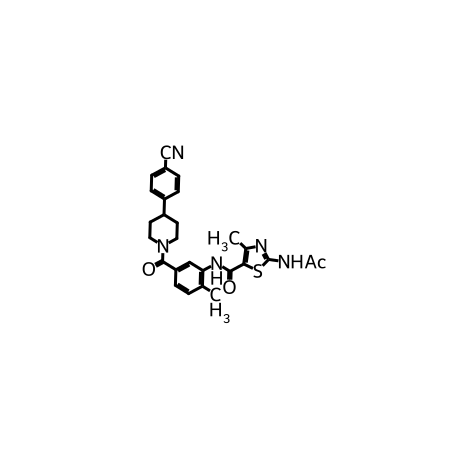 CC(=O)Nc1nc(C)c(C(=O)Nc2cc(C(=O)N3CCC(c4ccc(C#N)cc4)CC3)ccc2C)s1